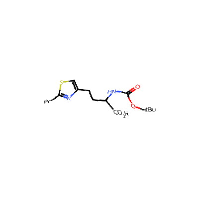 CC(C)c1nc(CCC(NC(=O)OC(C)(C)C)C(=O)O)cs1